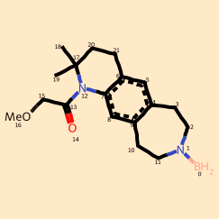 BN1CCc2cc3c(cc2CC1)N(C(=O)COC)C(C)(C)CC3